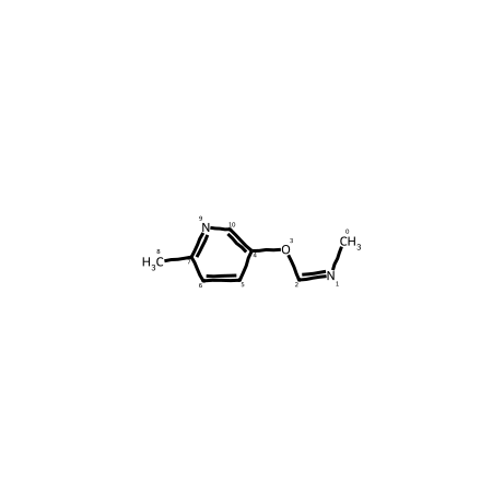 C/N=C\Oc1ccc(C)nc1